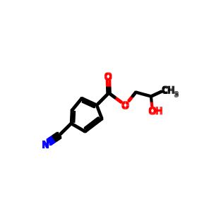 CC(O)COC(=O)c1ccc(C#N)cc1